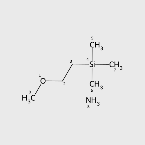 COCC[Si](C)(C)C.N